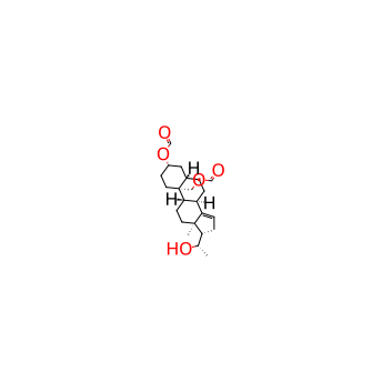 C[C@H](O)[C@H]1CC=C2[C@@H]3CC[C@H]4C[C@@H](OC=O)CC[C@]4(COC=O)[C@H]3CC[C@@]21C